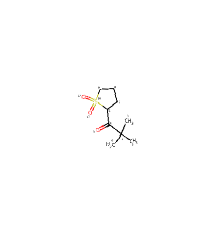 CC(C)(C)C(=O)C1CCCS1(=O)=O